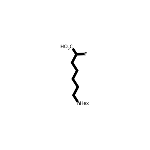 CCCCCCCCCCCC(F)C(=O)O